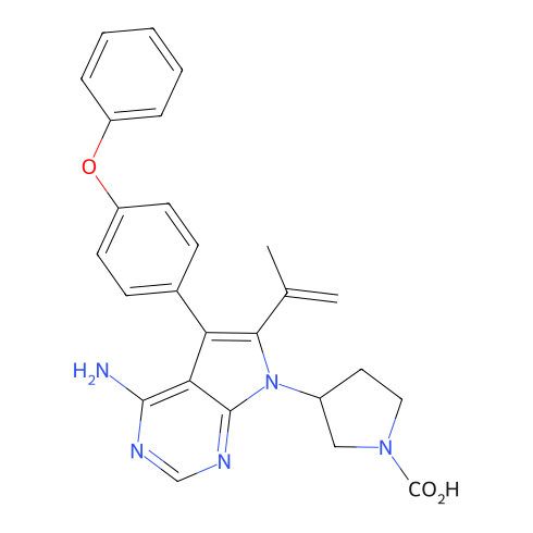 C=C(C)c1c(-c2ccc(Oc3ccccc3)cc2)c2c(N)ncnc2n1C1CCN(C(=O)O)C1